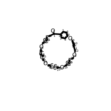 O=C1c2ccc(cc2)OC2=CCC(C=C2)Oc2ccc(cc2)Oc2ccc(cc2)Oc2ccc(cc2)Oc2ccc1cc2